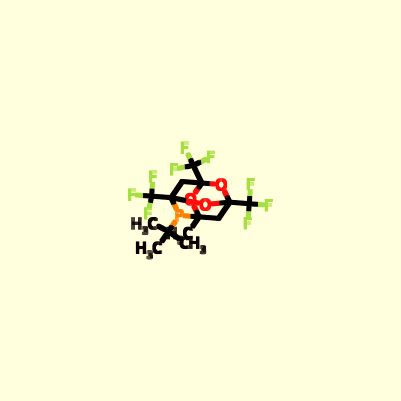 CC(C)(C)P1C2(C)CC3(C(F)(F)F)OC(C(F)(F)F)(CC1(C(F)(F)F)O3)O2